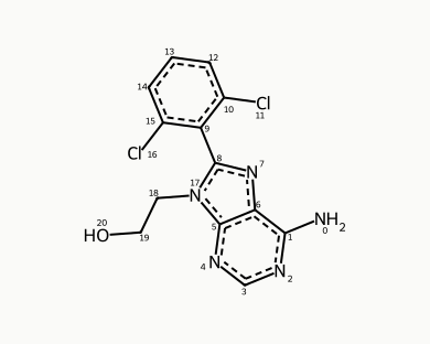 Nc1ncnc2c1nc(-c1c(Cl)cccc1Cl)n2CCO